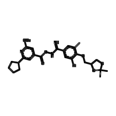 CCc1cc(C(=N)NOC(=O)c2cc(OC)nc(C3CCCC3)c2)cc(C)c1OCC1COC(C)(C)O1